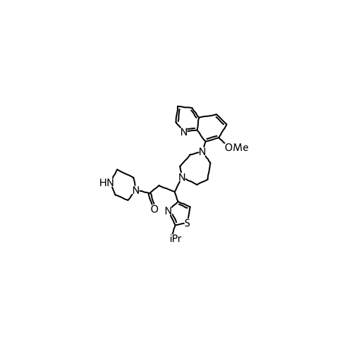 COc1ccc2cccnc2c1N1CCCN(C(CC(=O)N2CCNCC2)c2csc(C(C)C)n2)CC1